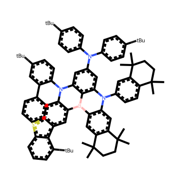 CC(C)(C)c1ccc(N(c2ccc(C(C)(C)C)cc2)c2cc3c4c(c2)N(c2ccc(C(C)(C)C)cc2-c2ccccc2)c2cc5sc6cccc(C(C)(C)C)c6c5cc2B4c2cc4c(cc2N3c2ccc3c(c2)C(C)(C)CCC3(C)C)C(C)(C)CCC4(C)C)cc1